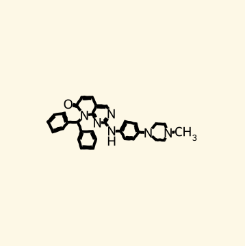 CN1CCN(c2ccc(Nc3ncc4ccc(=O)n(C(c5ccccc5)c5ccccc5)c4n3)cc2)CC1